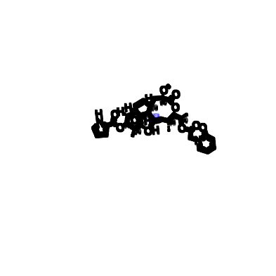 CO[C@H]1C[C@H]2C=C[C@H]3[C@H]4O[C@]2(/C(C)=C/[C@@H](C)[C@@H]([C@@H](C)OC(=O)Cn2ccccc2=O)OC1=O)[C@@H]3[C@H](O)[C@@H](C)[C@H]4OC(=O)c1ccc[nH]1